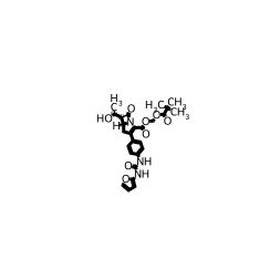 C[C@@H](O)[C@H]1C(=O)N2C(C(=O)OCOC(=O)C(C)(C)C)=C(c3ccc(NC(=O)Nc4ccco4)cc3)C[C@H]12